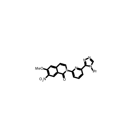 COc1cc2ccn(-c3cccc(-c4nncn4C(C)C)n3)c(=O)c2cc1[N+](=O)[O-]